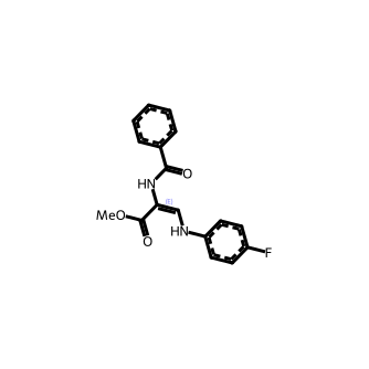 COC(=O)/C(=C\Nc1ccc(F)cc1)NC(=O)c1ccccc1